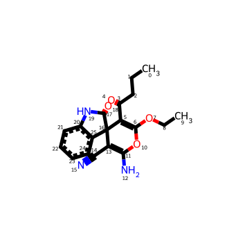 CCCC(=O)C1=C(OCC)OC(N)=C(C#N)C12C(=O)Nc1ccccc12